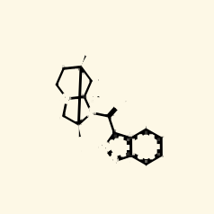 O=C(c1n[nH]c2ccccc12)N1[C@@H]2CN3CC[C@@H]2C[C@H]31